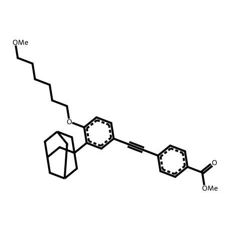 COCCCCCCOc1ccc(C#Cc2ccc(C(=O)OC)cc2)cc1C12CC3CC(CC(C3)C1)C2